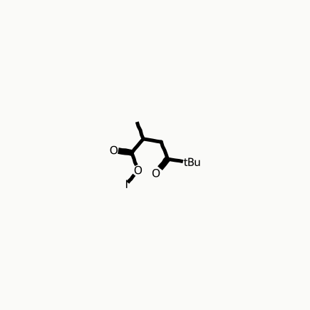 CC(CC(=O)C(C)(C)C)C(=O)OI